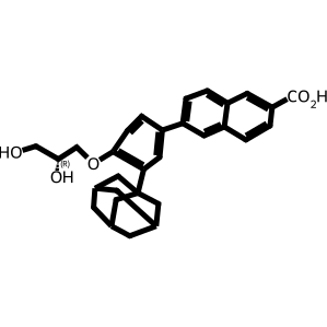 O=C(O)c1ccc2cc(-c3ccc(OC[C@H](O)CO)c(C45CC6CC(CC(C6)C4)C5)c3)ccc2c1